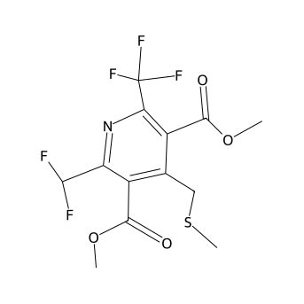 COC(=O)c1c(C(F)F)nc(C(F)(F)F)c(C(=O)OC)c1CSC